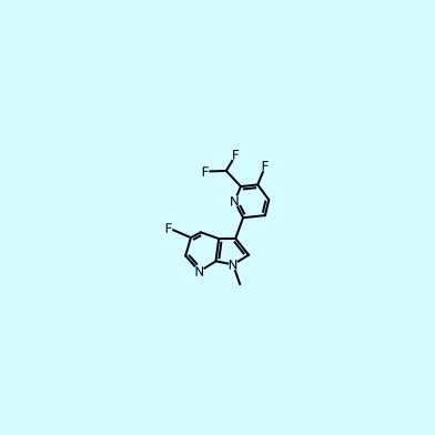 Cn1cc(-c2ccc(F)c(C(F)F)n2)c2cc(F)cnc21